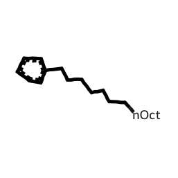 [CH2]CCCCCCCCCCCCCCc1ccccc1